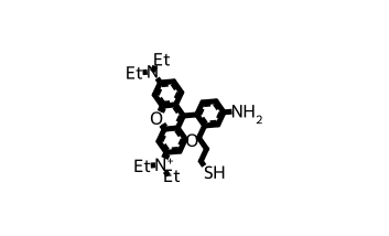 CCN(CC)c1ccc2c(-c3ccc(N)cc3C(=O)CCS)c3ccc(=[N+](CC)CC)cc-3oc2c1